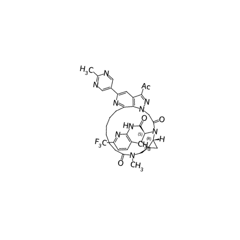 CC(=O)c1nn2c3c(nc(-c4cnc(C)nc4)cc13)CCCCCCC(=O)N(C)C[C@@]13C[C@@H](C(=O)Nc4nc(C(F)(F)F)ccc4C)N(C(=O)C2)[C@@H]1C3